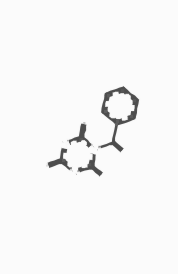 O=C(c1ccccc1)n1c(=O)[nH]c(=O)[nH]c1=O